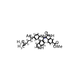 COC(=O)c1ccc2c(c1)NC(=O)/C2=C(\Nc1ccc(N(CCCN(C)C)C(C)=O)cc1)c1ccc2[nH]ccc2c1